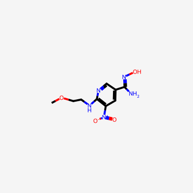 COCCNc1ncc(C(N)=NO)cc1[N+](=O)[O-]